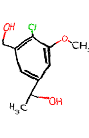 COc1cc(C(C)O)cc(CO)c1Cl